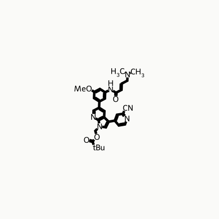 COc1cc(NC(=O)/C=C/CN(C)C)cc(-c2cnc3c(c2)c(-c2ccnc(C#N)c2)cn3COC(=O)C(C)(C)C)c1